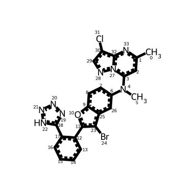 Cc1cc(N(C)c2ccc3oc(-c4ccccc4-c4nnn[nH]4)c(Br)c3c2)n2ncc(Cl)c2n1